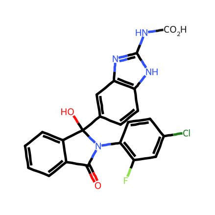 O=C(O)Nc1nc2cc(C3(O)c4ccccc4C(=O)N3c3ccc(Cl)cc3F)ccc2[nH]1